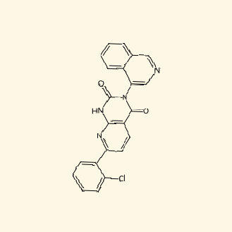 O=c1[nH]c2nc(-c3ccccc3Cl)ccc2c(=O)n1-c1cncc2ccccc12